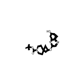 CC(C)(C)OC(=O)N1CCC2(CC1)CC(Oc1cnc3ccc(O)cc3n1)C2